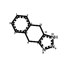 c1ccc2c(c1)Cc1nn[nH]c1C2